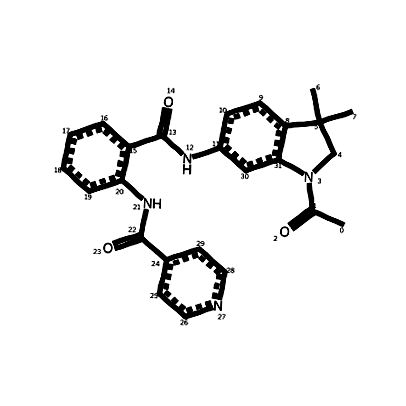 CC(=O)N1CC(C)(C)c2ccc(NC(=O)c3ccccc3NC(=O)c3ccncc3)cc21